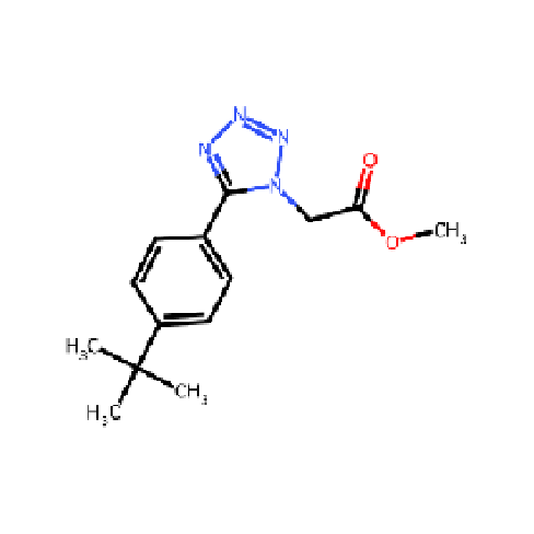 COC(=O)Cn1nnnc1-c1ccc(C(C)(C)C)cc1